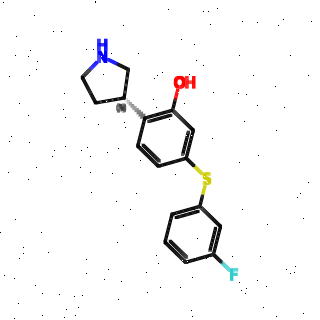 Oc1cc(Sc2cccc(F)c2)ccc1[C@@H]1CCNC1